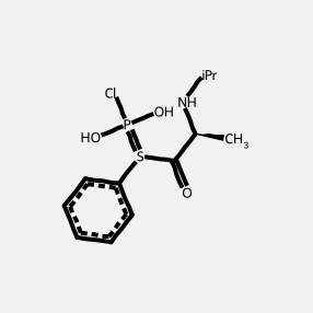 CC(C)N[C@@H](C)C(=O)S(c1ccccc1)=P(O)(O)Cl